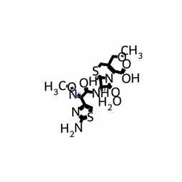 COCC1=C(C(=O)O)N2C(=O)[C@@H](NC(=O)/C(=N\OC)c3csc(N)n3)[C@H]2SC1.O